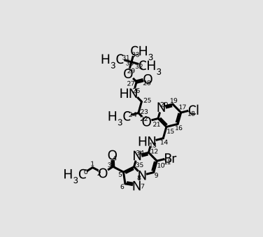 CCOC(=O)c1cnn2cc(Br)c(NCc3cc(Cl)cnc3OC(C)CNC(=O)OC(C)(C)C)nc12